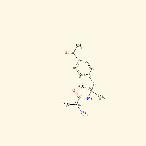 CC(=O)c1ccc(CC(C)(C)NC(=O)[C@H](C)N)cc1